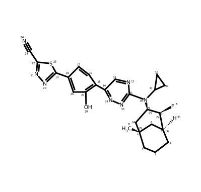 C[C@]12CCC[C@@H](C1)[C@H](F)[C@H](N(c1ncc(-c3ccc(-c4nnc(C#N)s4)cc3O)nn1)C1CC1)C2